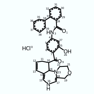 Cl.O=C(Nc1ccc(C(=O)C2CC=CC3=CNC=C4COCCN4C32)c(O)c1)c1ccccc1-c1ccccc1